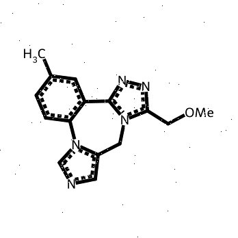 COCc1nnc2n1Cc1cncn1-c1ccc(C)cc1-2